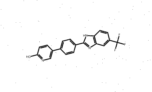 Oc1ccc(-c2ccc(-c3nc4cc(C(F)(F)F)ccc4[nH]3)cc2)cn1